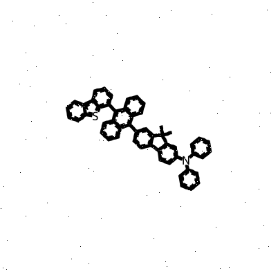 CC1(C)c2cc(-c3c4ccccc4c(-c4cccc5c4sc4ccccc45)c4ccccc34)ccc2-c2ccc(N(c3ccccc3)c3ccccc3)cc21